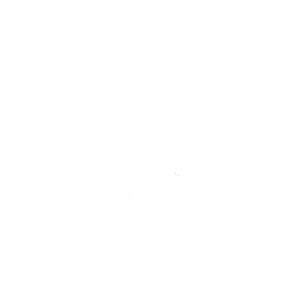 CCOC(=O)c1nc2cc3c(cc2cc1N)CCC3